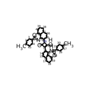 Cc1ccc(B2N=c3/c(=C4\C(=O)C(c5ccc6cccc7c6c5NB(c5ccc(C)cc5)O7)=C4O)ccc4cccc(c34)O2)cc1